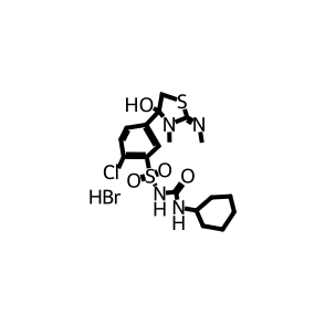 Br.CN=C1SCC(O)(c2ccc(Cl)c(S(=O)(=O)NC(=O)NC3CCCCC3)c2)N1C